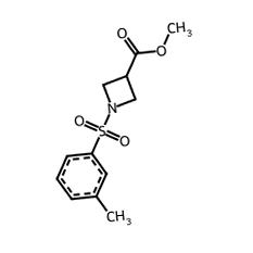 COC(=O)C1CN(S(=O)(=O)c2cccc(C)c2)C1